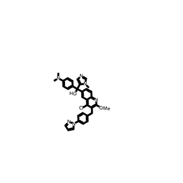 COc1nc2ccc(C(O)(c3ccc(N(C)C)cc3)c3cncn3C)cc2c(Cl)c1Cc1ccc(-n2cccn2)cc1